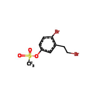 O=S(=O)(Oc1ccc(Br)c(CCBr)c1)C(F)(F)F